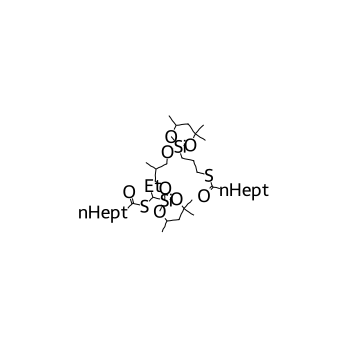 CCCCCCCC(=O)SCCC[Si]1(OCC(C)CO[Si]2(C(CC)SC(=O)CCCCCCC)OC(C)CC(C)(C)O2)OC(C)CC(C)(C)O1